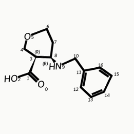 O=C(O)[C@H]1COCC[C@H]1NCc1ccccc1